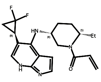 C=CC(=O)N1C[C@H](Nc2c3ccnc-3[nH]cc2[C@H]2CC2(F)F)CC[C@@H]1CC